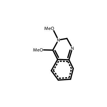 COC1=c2ccccc2=NCN1OC